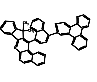 CC1(C)c2ccccc2-c2nc3ccc4ccccc4c3c(-c3ccc(-c4ccc5c6ccccc6c6ccccc6c5c4)c4ccccc34)c21